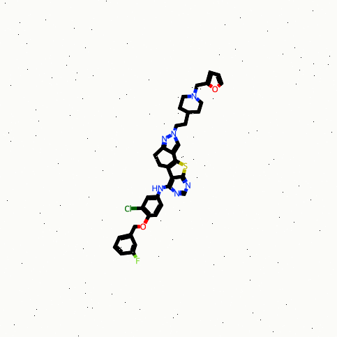 Fc1cccc(COc2ccc(Nc3ncnc4sc5c(c34)CCc3nn(CCC4CCN(Cc6ccco6)CC4)cc3-5)cc2Cl)c1